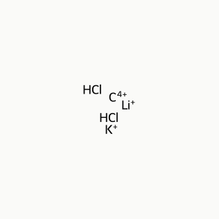 Cl.Cl.[C+4].[K+].[Li+]